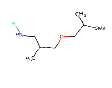 CSC(C)COCC(C)CNF